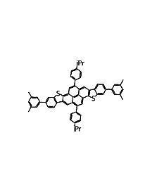 Cc1cc(C)cc(-c2ccc3c(c2)sc2c3cc3c(-c4ccc(C(C)C)cc4)cc4c5sc6cc(-c7cc(C)cc(C)c7)ccc6c5cc5c(-c6ccc(C(C)C)cc6)cc2c3c54)c1